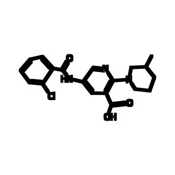 CC1CCCN(c2ncc(NC(=O)c3ccccc3Cl)cc2C(=O)O)C1